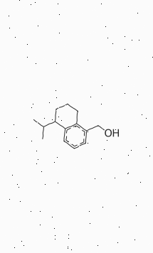 CC(C)C1CCCc2c(CO)cccc21